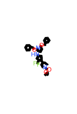 CC(C)(C)OC(=O)N1CC=C(c2ccc(Nc3ccc(OCc4ccccc4)nc3OCc3ccccc3)cc2C(F)F)CC1